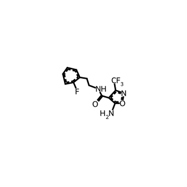 Nc1onc(C(F)(F)F)c1C(=O)NCCc1ccccc1F